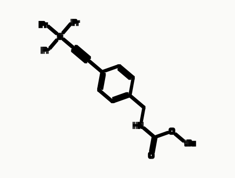 CC(C)[Si](C#Cc1ccc(CNC(=O)OC(C)(C)C)cc1)(C(C)C)C(C)C